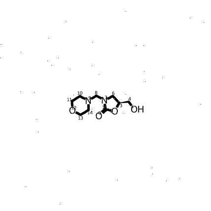 O=C1O[C@H](CO)CN1CN1CCOCC1